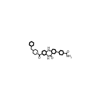 NC(=O)c1ccc(-c2ccc3c(c2)C(=O)Nc2cc(C(=O)N4CCC(Cc5ccccc5)CC4)ccc2N3)cc1